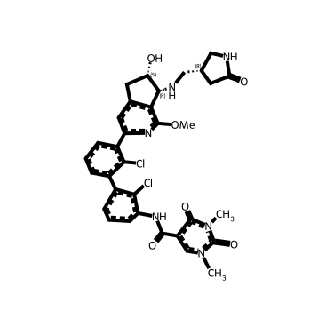 COc1nc(-c2cccc(-c3cccc(NC(=O)c4cn(C)c(=O)n(C)c4=O)c3Cl)c2Cl)cc2c1[C@@H](NC[C@@H]1CNC(=O)C1)[C@@H](O)C2